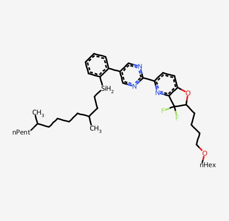 CCCCCCOCCCCC1Oc2ccc(-c3ncc(-c4ccccc4[SiH2]CCC(C)CCCCC(C)CCCCC)cn3)nc2C1(F)F